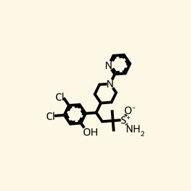 CC(C)(CC(c1cc(Cl)c(Cl)cc1O)C1CCN(c2ccccn2)CC1)[S+](N)[O-]